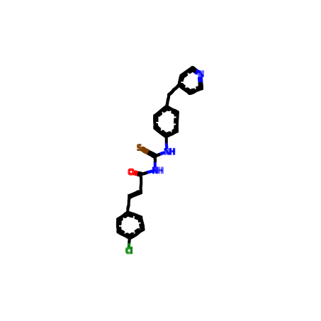 O=C(/C=C/c1ccc(Cl)cc1)NC(=S)Nc1ccc(Cc2ccncc2)cc1